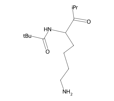 CC(C)C(=O)C(CCCCN)NC(=O)C(C)(C)C